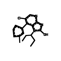 CCC(CC)n1c(O)nc2ncc(Cl)c(-c3cccc(C)c3)c21